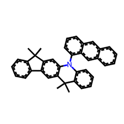 CC1(C)c2ccccc2-c2cc3c(cc21)N(c1cccc2cc4ccccc4cc12)c1ccccc1C3(C)C